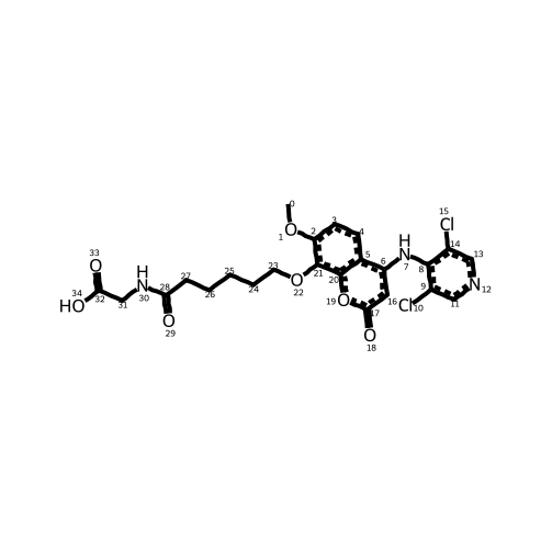 COc1ccc2c(Nc3c(Cl)cncc3Cl)cc(=O)oc2c1OCCCCCC(=O)NCC(=O)O